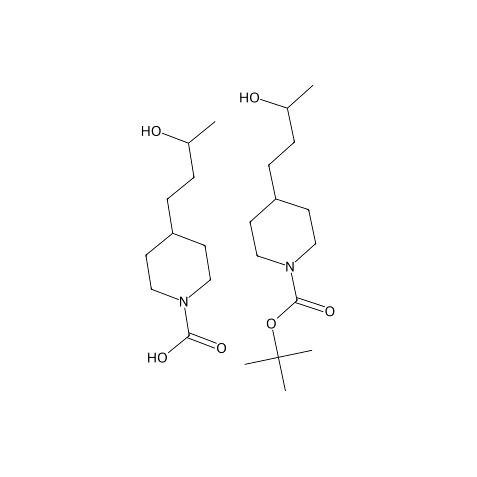 CC(O)CCC1CCN(C(=O)O)CC1.CC(O)CCC1CCN(C(=O)OC(C)(C)C)CC1